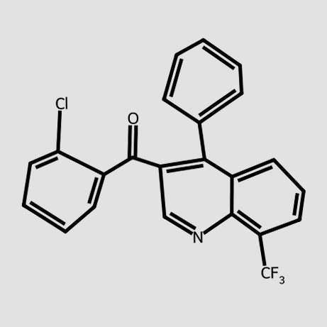 O=C(c1ccccc1Cl)c1cnc2c(C(F)(F)F)cccc2c1-c1ccccc1